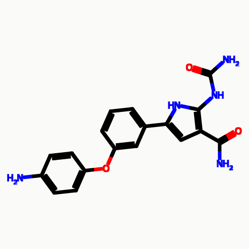 NC(=O)Nc1[nH]c(-c2cccc(Oc3ccc(N)cc3)c2)cc1C(N)=O